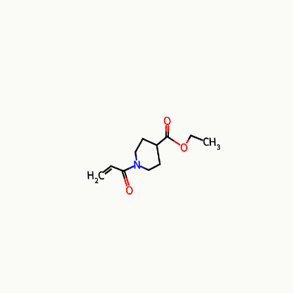 C=CC(=O)N1CCC(C(=O)OCC)CC1